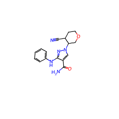 N#CC1CCOCC1n1cc(C(N)=O)c(Nc2ccccc2)n1